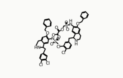 CS(=O)(=O)N(OC(=O)C(=O)OCS(=O)(=O)Nc1cc2c(cc1OCc1ccccc1)CCNC2Cc1ccc(Cl)c(Cl)c1)c1cc2c(cc1OCc1ccccc1)CCNC2Cc1ccc(Cl)c(Cl)c1